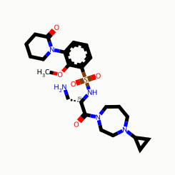 COc1c(N2CCCCC2=O)cccc1S(=O)(=O)N[C@@H](CN)C(=O)N1CCCN(C2CC2)CC1